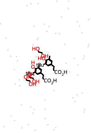 Cc1cc(CCC(=O)O)cc(C(C)(C)C)c1O.Cc1cc(CCC(=O)O)cc(C(C)(C)C)c1O.OCCO.OCCO.OCCO